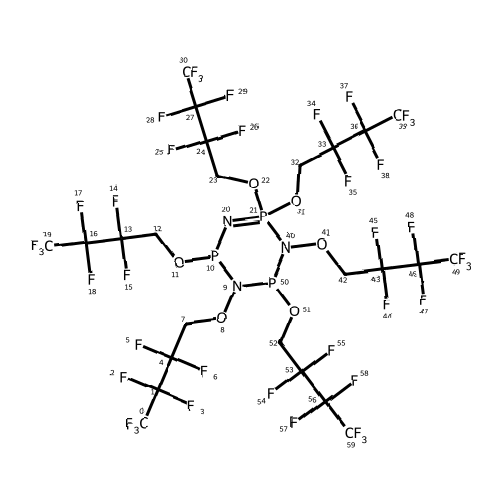 FC(F)(F)C(F)(F)C(F)(F)CON1P(OCC(F)(F)C(F)(F)C(F)(F)F)N=P(OCC(F)(F)C(F)(F)C(F)(F)F)(OCC(F)(F)C(F)(F)C(F)(F)F)N(OCC(F)(F)C(F)(F)C(F)(F)F)P1OCC(F)(F)C(F)(F)C(F)(F)F